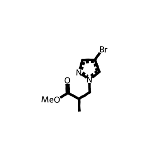 COC(=O)C(C)Cn1cc(Br)cn1